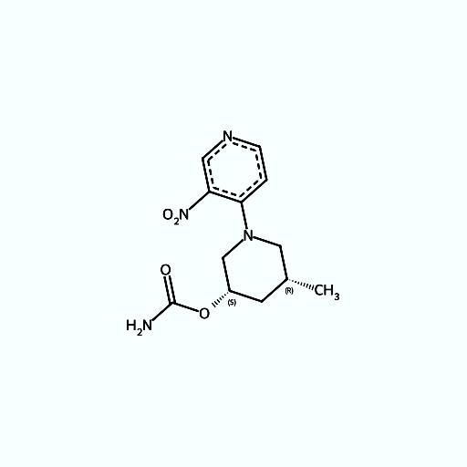 C[C@@H]1C[C@H](OC(N)=O)CN(c2ccncc2[N+](=O)[O-])C1